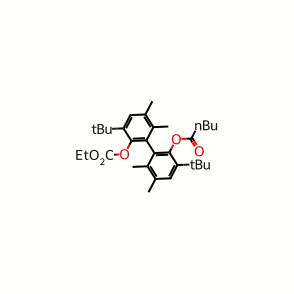 CCCCC(=O)Oc1c(C(C)(C)C)cc(C)c(C)c1-c1c(C)c(C)cc(C(C)(C)C)c1OC(=O)OCC